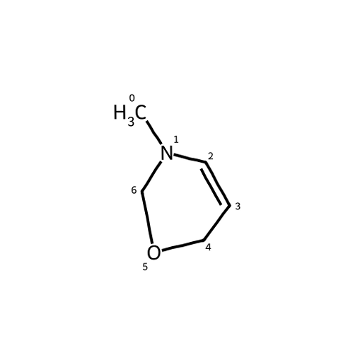 CN1C=CCOC1